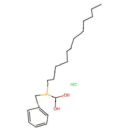 CCCCCCCCCCCCP(Cc1ccccc1)C(O)O.Cl